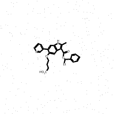 CCC(OC(=O)c1c(C)[nH]c2cc(-c3cccnc3)c(OCCCC(=O)O)cc12)c1ccccc1